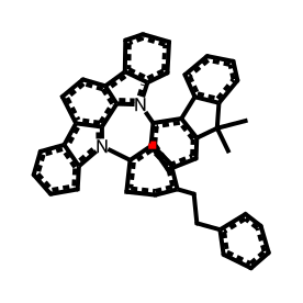 CC1(C)c2ccccc2-c2c(-n3c4ccccc4c4ccc5c6ccccc6n(-c6ccc(CCc7ccccc7)cc6)c5c43)cccc21